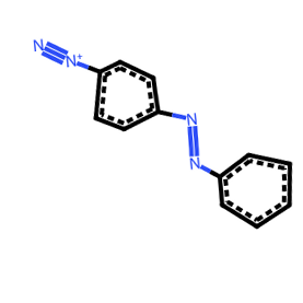 N#[N+]c1ccc(/N=N/c2ccccc2)cc1